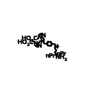 CCCC(N)(CCC)CCCN(C)Cc1ccc(CN(Cc2nccn2CC(=O)O)Cc2nccn2CC(=O)O)cc1